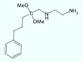 C[O][Ti]([CH2]CCc1ccccc1)([CH2]NCCN)[O]C